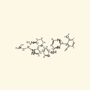 COc1cccc(F)c1-c1nccc(Nc2cc(N3CCC[C@H](N)C3)c(-c3cnn(CCN(C)C)c3)cn2)n1